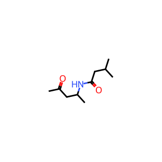 CC(=O)CC(C)NC(=O)CC(C)C